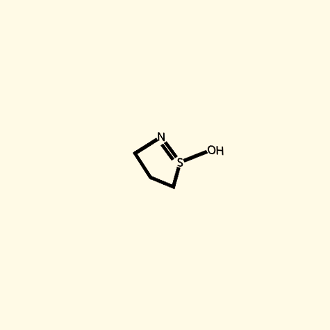 OS1=NCCC1